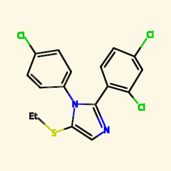 CCSc1cnc(-c2ccc(Cl)cc2Cl)n1-c1ccc(Cl)cc1